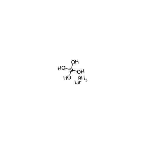 B.O[Si](O)(O)O.[La]